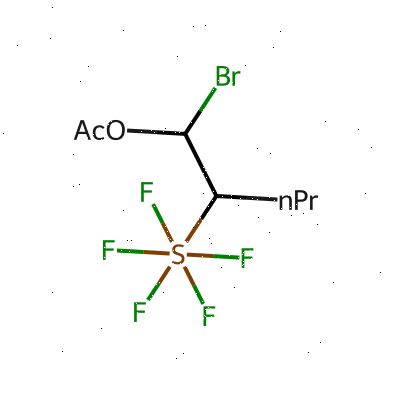 CCCC(C(Br)OC(C)=O)S(F)(F)(F)(F)F